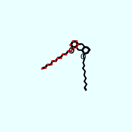 C=CCCCCCCCCCOc1cccc2c1C1c3c(OCCCCCCCCCC=C)cccc3C2c2cccc(OCCCCCCCCCC=C)c21